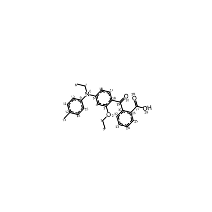 CCOc1cc(N(CC)c2ccc(C)cc2)ccc1C(=O)c1ccccc1C(=O)O